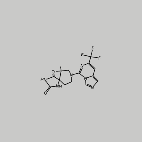 CC1(C)CN(c2nc(C(F)(F)F)cc3cncn23)CCC12NC(=O)NC2=O